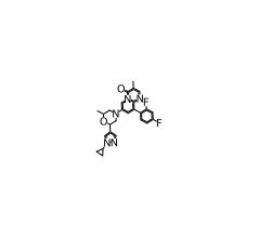 Cc1cnc2c(-c3ccc(F)cc3F)cc(N3CC(C)OC(c4cnn(C5CC5)c4)C3)cn2c1=O